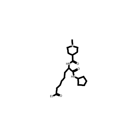 CCC(=O)CCCCCC(NC(=O)C1CCN(C)CC1)C(=O)NC1CCCC1